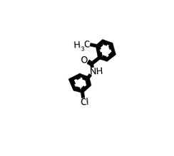 Cc1ccccc1C(=O)Nc1cccc(Cl)c1